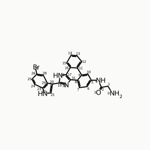 NCC(=O)Nc1ccc2c(c1)c1ccccc1c1[nH]c(-c3c[nH]c4ccc(Br)cc34)nc21